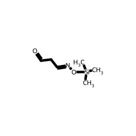 C[Si](C)(C)ON=CCC=O